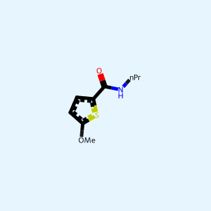 CCCNC(=O)c1ccc(OC)s1